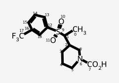 CC(C1CCCN(C(=O)O)C1)S(=O)(=O)c1cccc(C(F)(F)F)c1